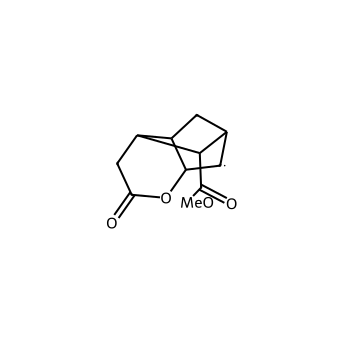 COC(=O)C1C2[CH]C3OC(=O)CC1C3C2